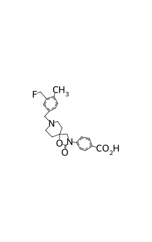 Cc1ccc(CN2CCC3(CC2)CN(c2ccc(C(=O)O)cc2)C(=O)O3)cc1CF